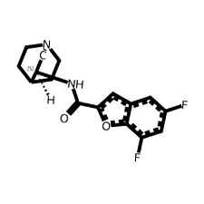 O=C(N[C@@H]1CN2CCC1CC2)c1cc2cc(F)cc(F)c2o1